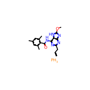 C=CCc1nc(NC(=O)c2c(C)cc(C)cc2C)c2[nH]c(OC)nc2n1.P